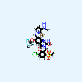 CCS(=O)(=O)c1ccc(Cl)cc1Cn1c(=O)[nH]c2c(Br)c(CN3CC[C@@H](NC)C3)c(OC(F)(F)F)cc2c1=O